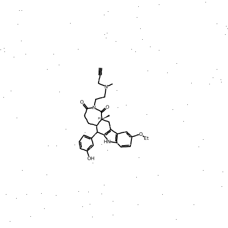 C#CCN(C)CCN1C(=O)CCC2C(c3cccc(O)c3)c3[nH]c4ccc(OCC)cc4c3C[C@@]2(C)C1=O